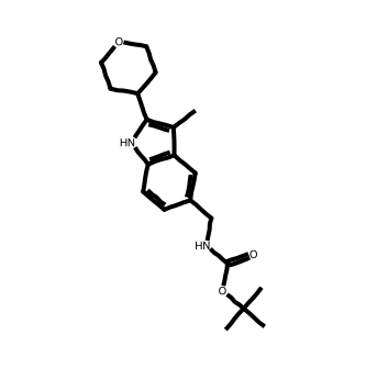 Cc1c(C2CCOCC2)[nH]c2ccc(CNC(=O)OC(C)(C)C)cc12